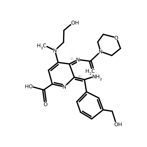 C=C(/N=C1/C(N(C)CCO)=CC(C(=O)O)=N/C1=C(/N)c1cccc(CO)c1)N1CCOCC1